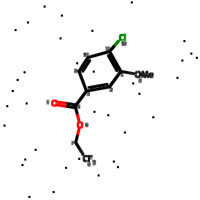 COc1cc(C(=O)OCC(F)(F)F)ccc1Cl